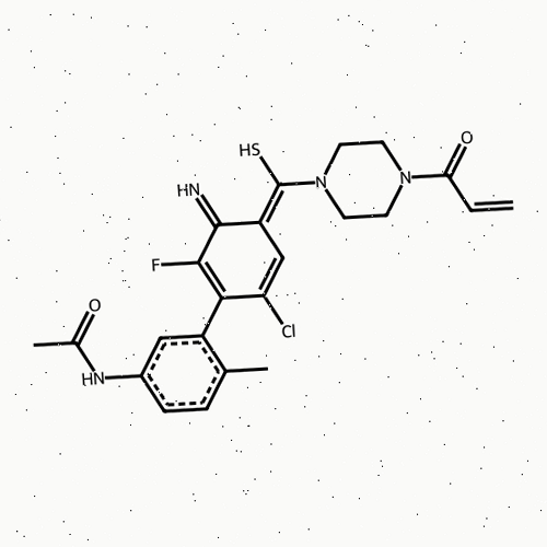 C=CC(=O)N1CCN(/C(S)=C2\C=C(Cl)C(c3cc(NC(C)=O)ccc3C)=C(F)C2=N)CC1